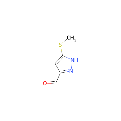 CSc1cc(C=O)n[nH]1